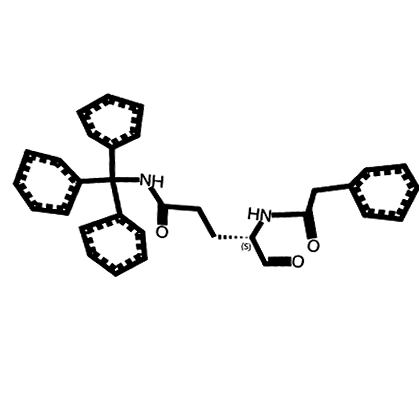 O=C[C@H](CCC(=O)NC(c1ccccc1)(c1ccccc1)c1ccccc1)NC(=O)Cc1ccccc1